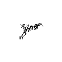 CC(C)[C@H]1CC[C@@H](n2cc(NC(=O)c3coc(-c4ccnc(NCC(F)(F)F)c4)n3)c(C(C)(C)O)n2)CC1